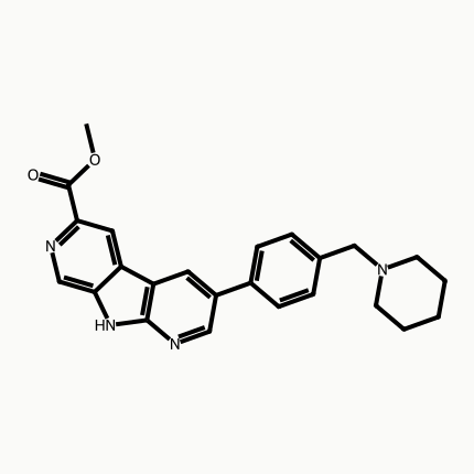 COC(=O)c1cc2c(cn1)[nH]c1ncc(-c3ccc(CN4CCCCC4)cc3)cc12